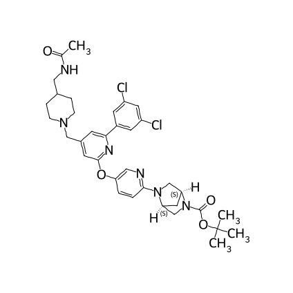 CC(=O)NCC1CCN(Cc2cc(Oc3ccc(N4C[C@@H]5C[C@H]4CN5C(=O)OC(C)(C)C)nc3)nc(-c3cc(Cl)cc(Cl)c3)c2)CC1